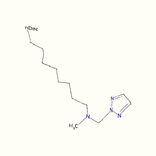 CCCCCCCCCCCCCCCCCCN(C)Cn1nccn1